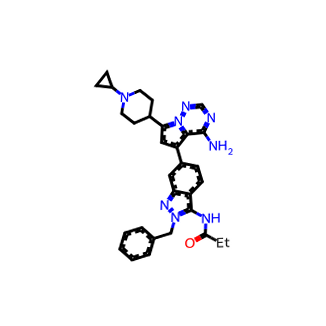 CCC(=O)Nc1c2ccc(-c3cc(C4CCN(C5CC5)CC4)n4ncnc(N)c34)cc2nn1Cc1ccccc1